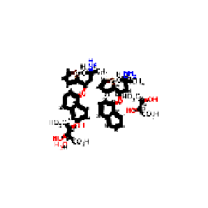 CC(C)(N)CC(Oc1cccc2ccccc12)c1cccs1.CC(C)(N)CC(Oc1cccc2ccccc12)c1cccs1.O.O=C(O)C(O)C(O)C(=O)O.O=C(O)C(O)C(O)C(=O)O